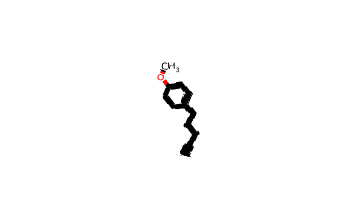 [C]#CCCCc1ccc(OC)cc1